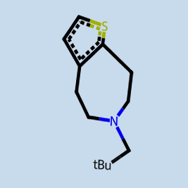 CC(C)(C)CN1CCc2ccsc2CC1